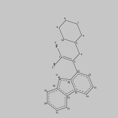 FC(F)=C(CC1CCCCC1)c1cccc2c1sc1ccccc12